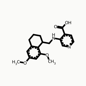 COc1cc2c(c(OC)c1)C(CNc1cnccc1C(=O)O)CCC2